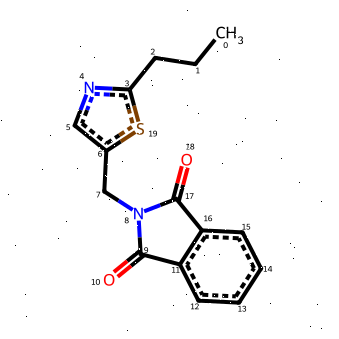 CCCc1ncc(CN2C(=O)c3ccccc3C2=O)s1